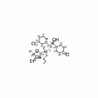 C=CC[C@@](C)(C[C@H](c1cccc(Cl)c1)[C@@H](O)c1ccc(Cl)cc1)C1=N[C@@H](CC)[C@H](C)O1